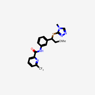 COCC(Sc1nncn1C)c1cccc(NC(=O)c2cccc(C(F)(F)F)n2)c1